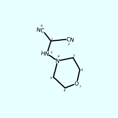 N#CC(C#N)NN1CCOCC1